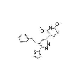 COc1ncc(-c2cc(CCc3ccccc3)c(-c3cccs3)nn2)c(OC)n1